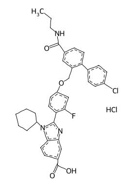 CCCNC(=O)c1ccc(-c2ccc(Cl)cc2)c(COc2ccc(-c3nc4cc(C(=O)O)ccc4n3C3CCCCC3)c(F)c2)c1.Cl